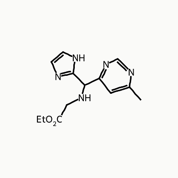 CCOC(=O)CNC(c1cc(C)ncn1)c1ncc[nH]1